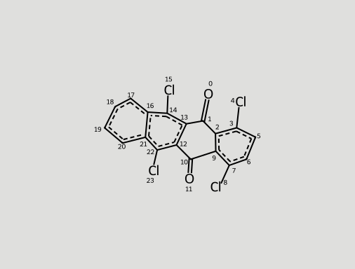 O=C1c2c(Cl)ccc(Cl)c2C(=O)c2c1c(Cl)c1ccccc1c2Cl